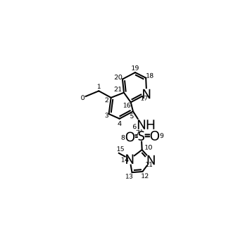 CCc1ccc(NS(=O)(=O)c2nccn2C)c2ncccc12